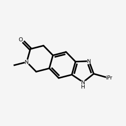 CC(C)c1nc2cc3c(cc2[nH]1)CN(C)C(=O)C3